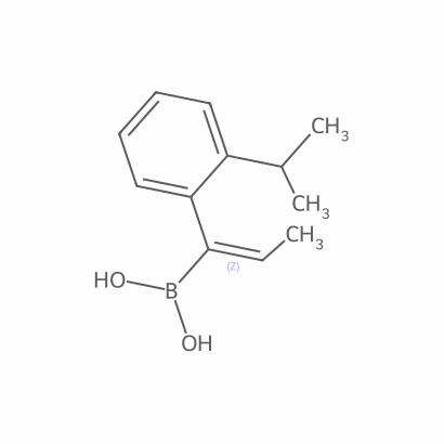 C/C=C(/B(O)O)c1ccccc1C(C)C